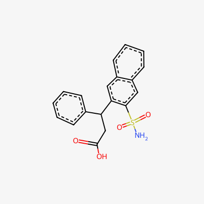 NS(=O)(=O)c1cc2ccccc2cc1C(CC(=O)O)c1ccccc1